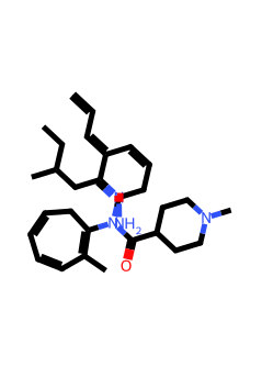 C=C/C=C(\C=C/CCN(C(=O)C1CCN(C)CC1)C1=C(C)C=CC=CC1)C(/CC(C)CC)=N/N